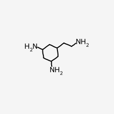 NCCC1CC(N)CC(N)C1